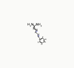 NC(N)=N/N=C/C=C/c1ccccc1